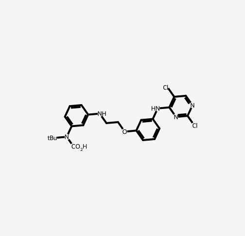 CC(C)(C)N(C(=O)O)c1cccc(NCCOc2cccc(Nc3nc(Cl)ncc3Cl)c2)c1